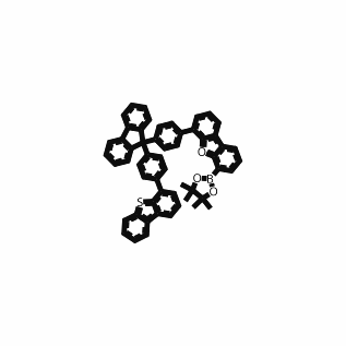 CC1(C)OB(c2cccc3c2oc2c(-c4ccc(C5(c6ccc(-c7cccc8c7sc7ccccc78)cc6)c6ccccc6-c6ccccc65)cc4)cccc23)OC1(C)C